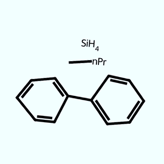 CCCC.[SiH4].c1ccc(-c2ccccc2)cc1